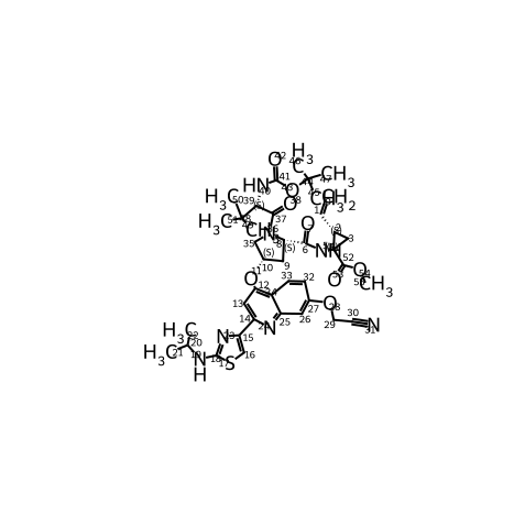 C=C[C@@H]1C[C@]1(NC(=O)[C@@H]1C[C@H](Oc2cc(-c3csc(NC(C)C)n3)nc3cc(OCC#N)ccc23)CN1C(=O)[C@@H](NC(=O)OC(C)(C)C)C(C)(C)C)C(=O)OC